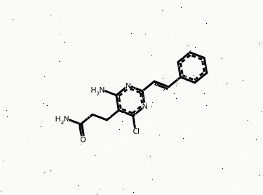 NC(=O)CCc1c(N)nc(C=Cc2ccccc2)nc1Cl